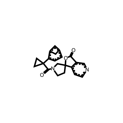 O=C1OC2(CCN(C(=O)C3(c4ccc5cc4C5)CC3)C2)c2ccncc21